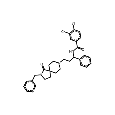 O=C(NC(CCN1CCC2(CC1)CCN(Cc1cccnc1)C2=O)c1ccccc1)c1ccc(Cl)c(Cl)c1